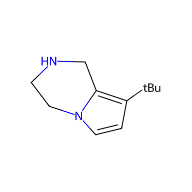 CC(C)(C)c1ccn2c1CNCC2